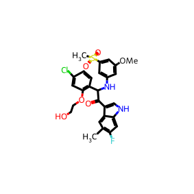 COc1cc(NC(C(=O)c2c[nH]c3cc(F)c(C)cc23)c2ccc(Cl)cc2OCCO)cc(S(C)(=O)=O)c1